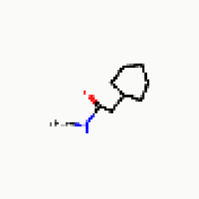 CCCCCCNC(=O)CC1CCCCC1